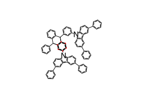 c1ccc(-c2ccc3c(c2)c2cc(-c4ccccc4)ccc2n3-c2cccc(C34c5ccccc5C(c5ccccc5)(c5ccccc53)c3cc(-n5c6ccc(-c7ccccc7)cc6c6cc(-c7ccccc7)ccc65)ccc34)c2)cc1